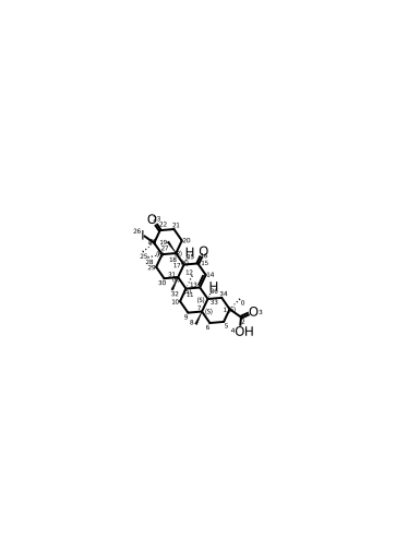 C[C@]1(C(=O)O)CC[C@]2(C)CC[C@]3(C)C(=CC(=O)[C@@H]4[C@@]5(C)CCC(=O)[C@](C)(I)[C@]5(C)CC[C@]43C)[C@H]2C1